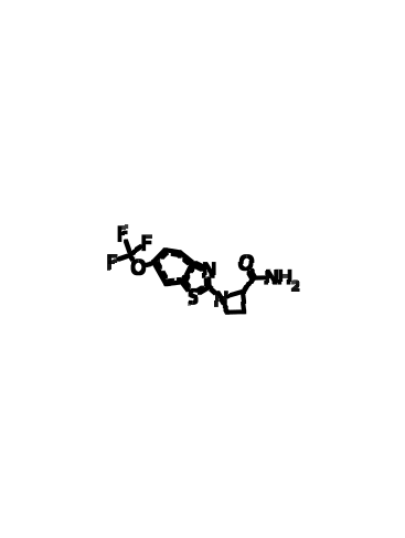 NC(=O)C1CCN1c1nc2ccc(OC(F)(F)F)cc2s1